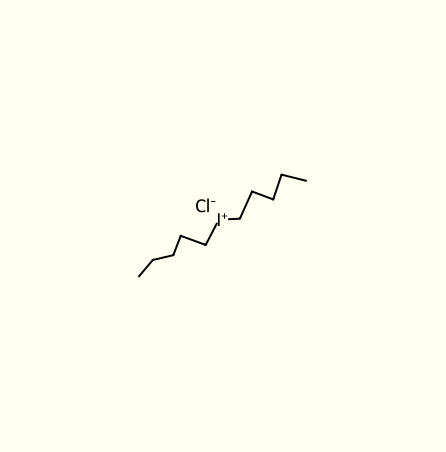 CCCCC[I+]CCCCC.[Cl-]